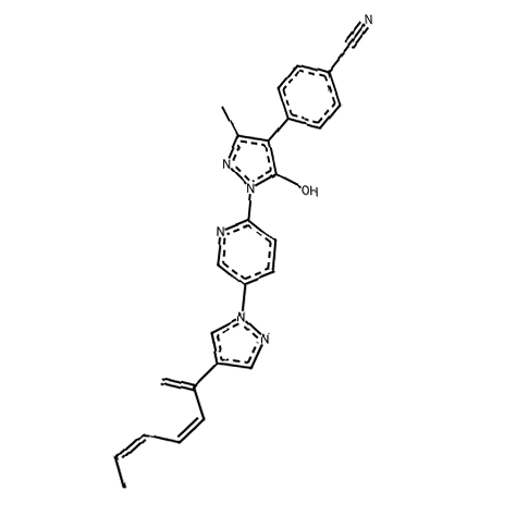 C=C(/C=C\C=C/C)c1cnn(-c2ccc(-n3nc(C)c(-c4ccc(C#N)cc4)c3O)nc2)c1